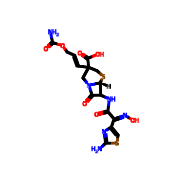 NC(=O)OCC=CC1(C(=O)O)CS[C@@H]2C(NC(=O)C(=NO)c3csc(N)n3)C(=O)N2C1